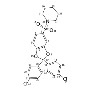 O=S(=O)(c1ccc2c(c1)OC(c1ccc(Cl)cc1)(c1ccc(Cl)cc1)O2)N1CCCCC1